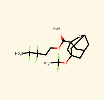 O=C(OCCC(F)(F)C(F)(F)S(=O)(=O)O)C12CC3CC(CC(OC(F)(F)C(=O)O)(C3)C1)C2.[NaH]